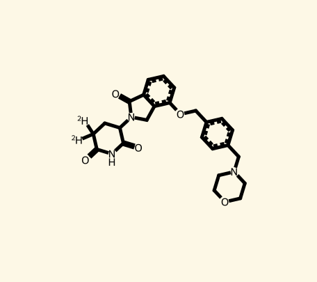 [2H]C1([2H])CC(N2Cc3c(OCc4ccc(CN5CCOCC5)cc4)cccc3C2=O)C(=O)NC1=O